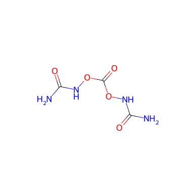 NC(=O)NOC(=O)ONC(N)=O